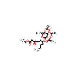 CCCCC(CCCC(O)CC(=O)OCC)OC1O[C@@H](C)[C@@H](OC(C)=O)[C@@H](OC(C)=O)[C@@H]1OC(C)=O